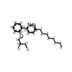 CCCCCCCCc1ccc(-c2ccccc2OCC(C)CC)nn1